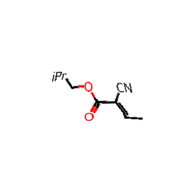 C/C=C(\C#N)C(=O)OCC(C)C